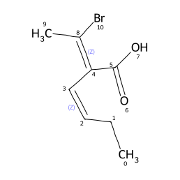 CC/C=C\C(C(=O)O)=C(/C)Br